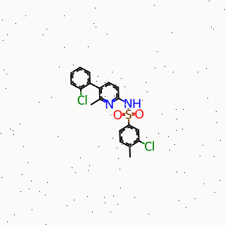 Cc1ccc(S(=O)(=O)Nc2ccc(-c3ccccc3Cl)c(C)n2)cc1Cl